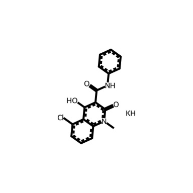 Cn1c(=O)c(C(=O)Nc2ccccc2)c(O)c2c(Cl)cccc21.[KH]